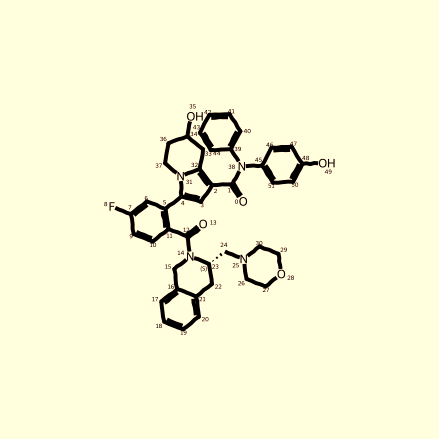 O=C(c1cc(-c2cc(F)ccc2C(=O)N2Cc3ccccc3C[C@H]2CN2CCOCC2)n2c1CC(O)CC2)N(c1ccccc1)c1ccc(O)cc1